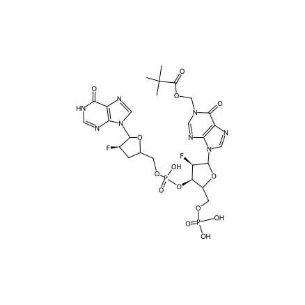 CC(C)(C)C(=O)OCn1cnc2c(ncn2C2OC(COP(=O)(O)O)[C@@H](OP(=O)(O)OCC3C[C@@H](F)C(n4cnc5c(=O)[nH]cnc54)O3)[C@H]2F)c1=O